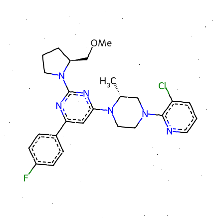 COC[C@@H]1CCCN1c1nc(-c2ccc(F)cc2)cc(N2CCN(c3ncccc3Cl)C[C@H]2C)n1